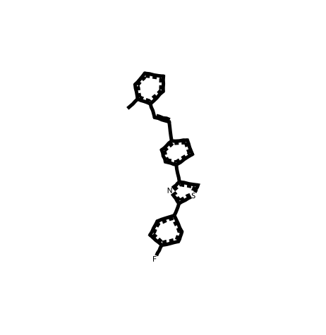 Cc1ccccc1C=Cc1ccc(-c2csc(-c3ccc(F)cc3)n2)cc1